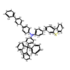 c1ccc(-c2ccc(-c3ccc(N(c4ccc(-c5ccc6c(c5)sc5ccccc56)cc4)c4ccc(C5(c6ccccc6)c6ccccc6-c6ccccc65)cc4)cc3)cc2)cc1